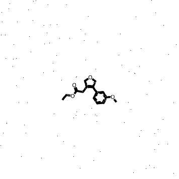 CCOC(=O)CC1=C(c2cccc(OC)c2)COC1